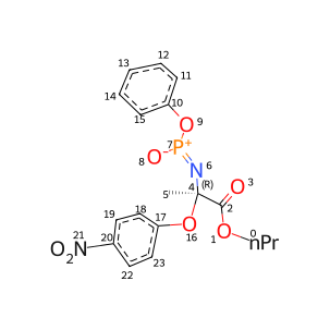 CCCOC(=O)[C@](C)(N=[P+]([O-])Oc1ccccc1)Oc1ccc([N+](=O)[O-])cc1